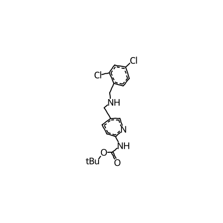 CC(C)(C)OC(=O)Nc1ccc(CNCc2ccc(Cl)cc2Cl)cn1